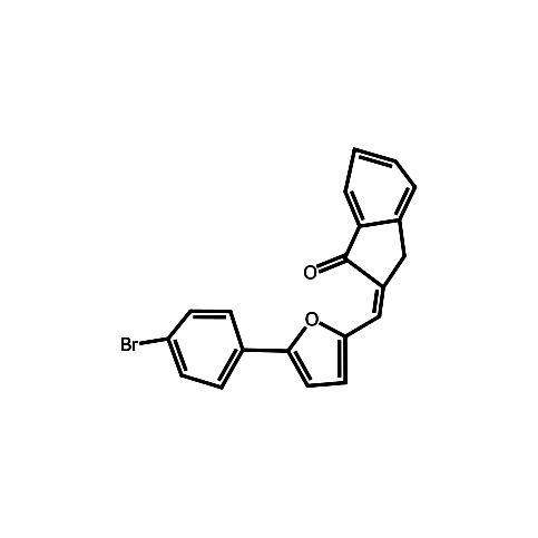 O=C1C(=Cc2ccc(-c3ccc(Br)cc3)o2)Cc2ccccc21